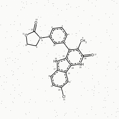 Cc1c(-c2cccc(N3CCOC3=O)c2)c2[nH]c3ccc(Cl)cc3c2[nH]c1=O